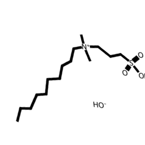 CCCCCCCCCC[N+](C)(C)CCCS(=O)(=O)O.[OH-]